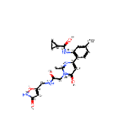 Cc1nc(-c2ccc(C#N)cc2NC(=O)C2CC2)cc(=O)n1CC(=O)NCc1cc(=O)[nH]o1